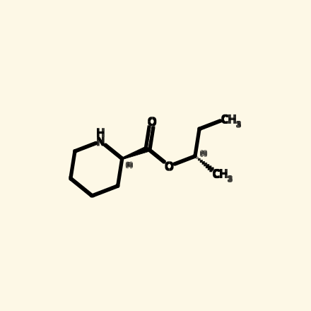 CC[C@H](C)OC(=O)[C@H]1CCCCN1